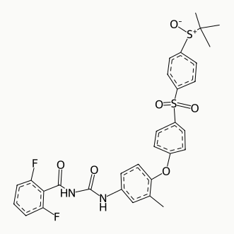 Cc1cc(NC(=O)NC(=O)c2c(F)cccc2F)ccc1Oc1ccc(S(=O)(=O)c2ccc([S+]([O-])C(C)(C)C)cc2)cc1